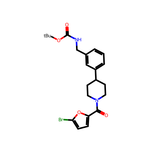 CC(C)(C)OC(=O)NCc1cccc(C2CCN(C(=O)c3ccc(Br)o3)CC2)c1